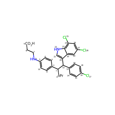 CCCC(c1ccc(NCCC(=O)O)cc1)C(c1ccc(Cl)cc1)c1c[nH]c2c(Cl)cc(Cl)cc12